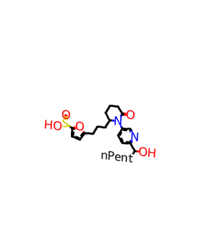 CCCCCC(O)c1ccc(N2C(=O)CCCC2CCCc2ccc(S(=O)O)o2)cn1